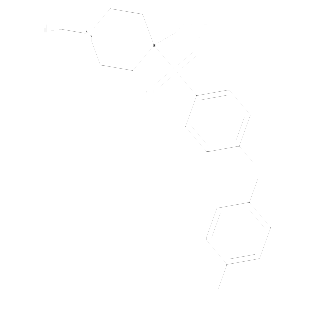 CCCCN1CCC(C(=O)OCC)(S(=O)(=O)c2ccc(Oc3ccc(Cl)cc3)cc2)CC1